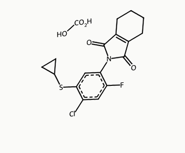 O=C(O)O.O=C1C2=C(CCCC2)C(=O)N1c1cc(SC2CC2)c(Cl)cc1F